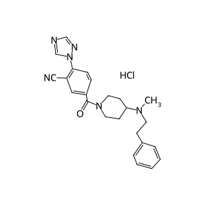 CN(CCc1ccccc1)C1CCN(C(=O)c2ccc(-n3cncn3)c(C#N)c2)CC1.Cl